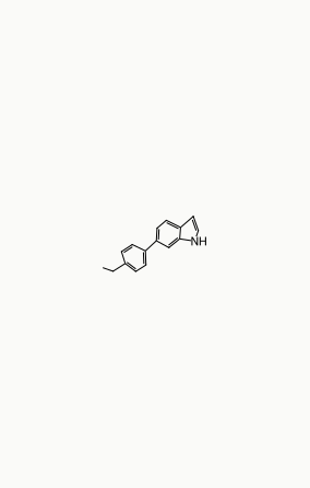 CCc1ccc(-c2ccc3cc[nH]c3c2)cc1